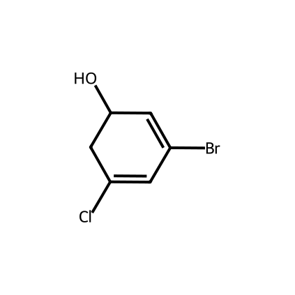 OC1C=C(Br)C=C(Cl)C1